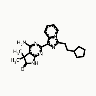 CC1(C)C(=O)Nc2nc(-c3nc(CCC4CCCC4)n4ccccc34)nc(N)c21